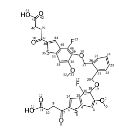 COc1cc2sc(C(=O)CCC(=O)O)cc2c(F)c1OCc1ccccc1COc1c(OC)cc2sc(C(=O)CCC(=O)O)cc2c1F